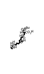 CCCCOC(=O)NC(CNC(=O)CC1CC(CCCNC2NCCN2)ON1)C(=O)O